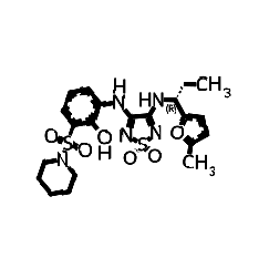 CC[C@@H](NC1=NS(=O)(=O)N=C1Nc1cccc(S(=O)(=O)N2CCCCC2)c1O)c1ccc(C)o1